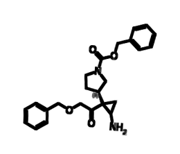 NC1CC1(C(=O)COCc1ccccc1)[C@H]1CCN(C(=O)OCc2ccccc2)C1